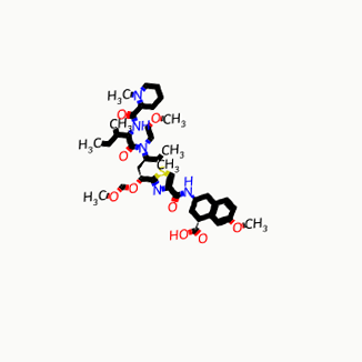 CCC(C)C(NC(=O)C1CCCCN1C)C(=O)N(CCOC)[C@H](C[C@@H](OCOC)c1nc(C(=O)N[C@H]2Cc3ccc(OC)cc3[C@H](C(=O)O)C2)cs1)C(C)C